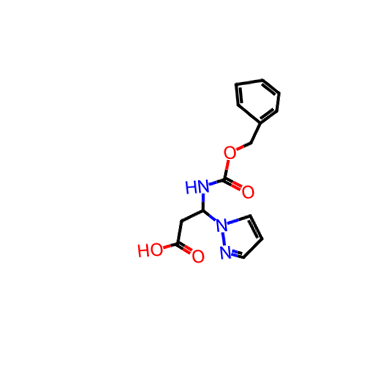 O=C(O)CC(NC(=O)OCc1ccccc1)n1cccn1